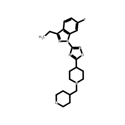 CCc1nn(-c2noc(C3CCN(CC4CCOCC4)CC3)n2)c2cc(F)ccc12